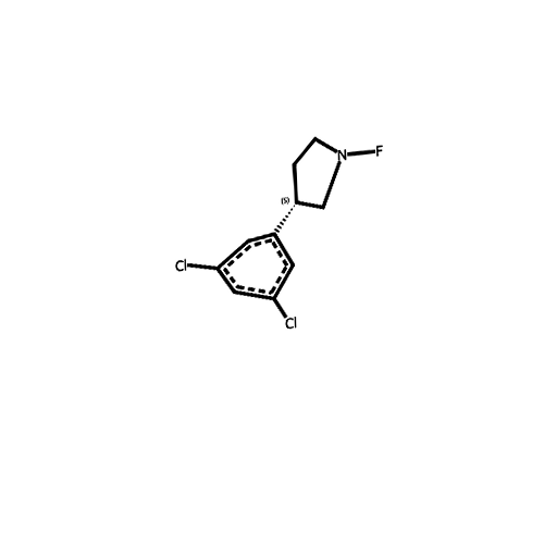 FN1CC[C@@H](c2cc(Cl)cc(Cl)c2)C1